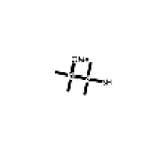 CO[Si](C)(C)S(C)(C)S